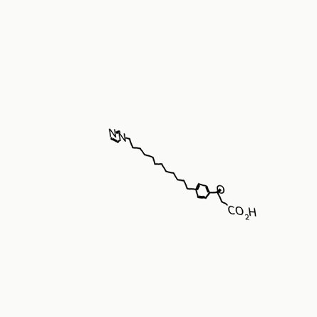 O=C(O)CCC(=O)c1ccc(CCCCCCCCCCCCn2ccnc2)cc1